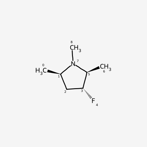 C[C@@H]1C[C@@H](F)[C@H](C)N1C